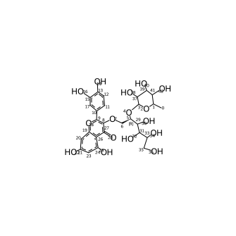 CC1OC(O[C@H](COc2c(-c3ccc(O)c(O)c3)oc3cc(O)cc(O)c3c2=O)C(O)C(O)C(O)CO)C(O)C(O)C1O